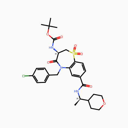 C[C@@H](NC(=O)c1ccc2c(c1)N(Cc1ccc(Cl)cc1)C(=O)[C@@H](NC(=O)OC(C)(C)C)CS2(=O)=O)C1CCOCC1